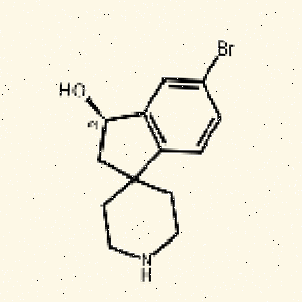 O[C@@H]1CC2(CCNCC2)c2ccc(Br)cc21